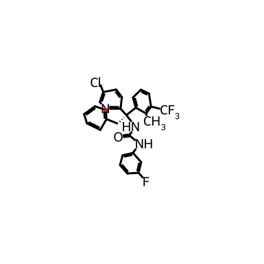 Cc1c(C(F)(F)F)cccc1[C@@](Cc1ccccc1)(NC(=O)Nc1cccc(F)c1)c1ccc(Cl)cn1